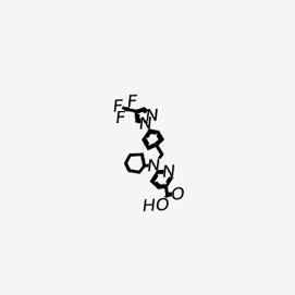 O=C(O)c1ccc(N(Cc2ccc(-n3cc(C(F)(F)F)cn3)cc2)C2CCCCC2)nc1